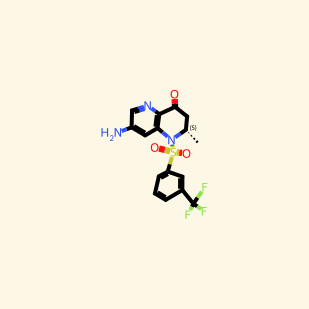 C[C@H]1CC(=O)c2ncc(N)cc2N1S(=O)(=O)c1cccc(C(F)(F)F)c1